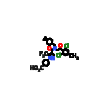 Cc1cc(Cl)c(C(=O)CN(CC2CCC3(CC2)CC3)C(=O)c2cnn(C3CCC(C(=O)O)CC3)c2C(F)(F)F)c(Cl)c1